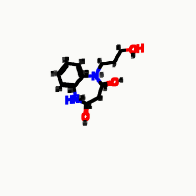 O=C1CC(=O)N(CCCO)c2ccccc2N1